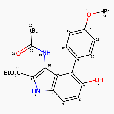 CCOC(=O)c1[nH]c2ccc(O)c(-c3ccc(OC(C)C)cc3)c2c1NC(=O)C(C)(C)C